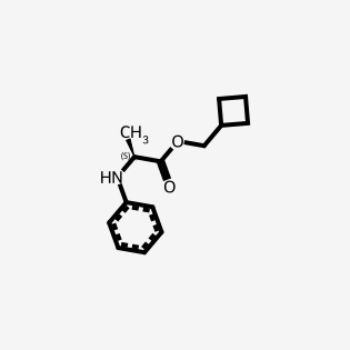 C[C@H](Nc1ccccc1)C(=O)OCC1CCC1